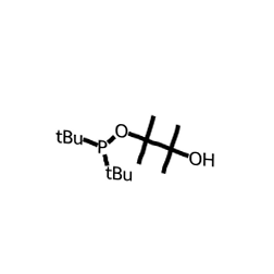 CC(C)(C)P(OC(C)(C)C(C)(C)O)C(C)(C)C